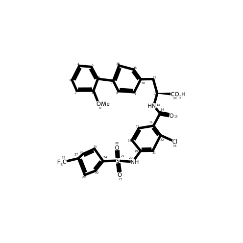 COc1ccccc1-c1ccc(C[C@H](NC(=O)c2ccc(NS(=O)(=O)c3ccc(C(F)(F)F)cc3)cc2Cl)C(=O)O)cc1